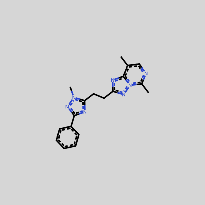 Cc1cnc(C)n2nc(CCc3nc(-c4ccccc4)nn3C)nc12